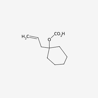 C=CCC1(OC(=O)O)CCCCC1